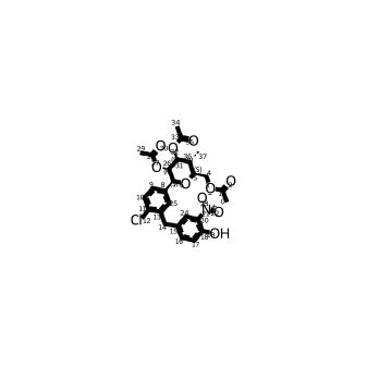 CC(=O)OC[C@H]1O[C@@H](c2ccc(Cl)c(Cc3ccc(O)c([N+](=O)[O-])c3)c2)[C@H](OC(C)=O)[C@@H](OC(C)=O)[C@@H]1C